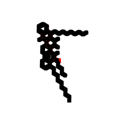 CCCCCCCCCCc1ccccc1C(C)C(C)c1ccc(O)c(C(C)C(C)c2ccccc2CCCCCCCCCC)c1C(C)C(C)c1ccccc1CCCCCCCCCC